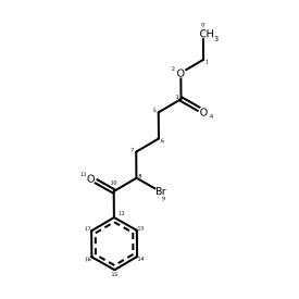 CCOC(=O)CCCC(Br)C(=O)c1ccccc1